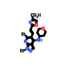 CCc1nc2c(cnn2CC)c(NC2CCOCC2)c1/C=C/c1nc(C(=O)O)co1